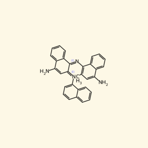 Cc1cc(N)c2ccccc2c1/N=C1\C(=N\c2cccc3ccccc23)C=C(N)c2ccccc21